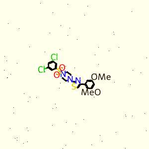 COc1ccc(OC)c(-c2csc(N3CCN(S(=O)(=O)c4cc(Cl)cc(Cl)c4)CC3)n2)c1